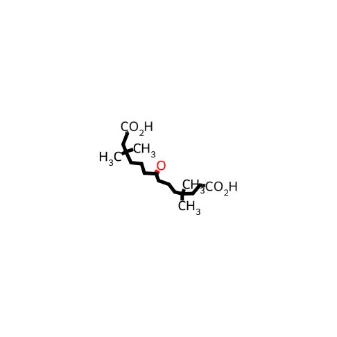 CC(C)(CCCC(=O)CCCC(C)(C)CCC(=O)O)CCC(=O)O